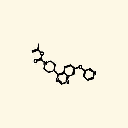 C=C(C)OC(=O)N1CCC(c2ncnc3cc(Oc4cccnc4)ccc23)CC1